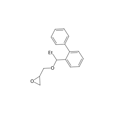 CCC(OCC1CO1)c1ccccc1-c1ccccc1